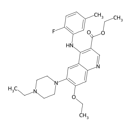 CCOC(=O)c1cnc2cc(OCC)c(N3CCN(CC)CC3)cc2c1Nc1cc(C)ccc1F